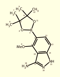 COc1c(B2OC(C)(C)C(C)(C)O2)ccc2[nH]nc(N)c12